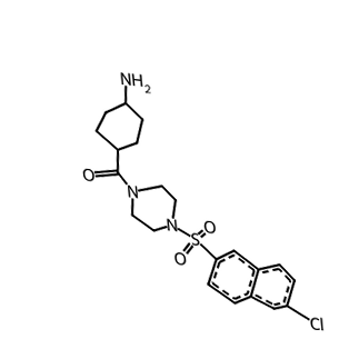 NC1CCC(C(=O)N2CCN(S(=O)(=O)c3ccc4cc(Cl)ccc4c3)CC2)CC1